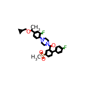 CC(OCC1CC1)c1ccc(N2CCN(C(=O)c3cc(S(C)(=O)=O)ccc3-c3ccc(F)cc3)CC2)c(F)c1